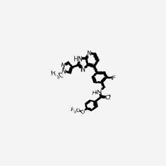 Cn1cc(-c2nc3c(-c4ccc(CNC(=O)c5ccc(OC(F)(F)F)cc5)c(F)c4)ccnc3[nH]2)cn1